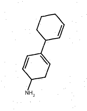 NC1C=CC(C2C=CCCC2)=CC1